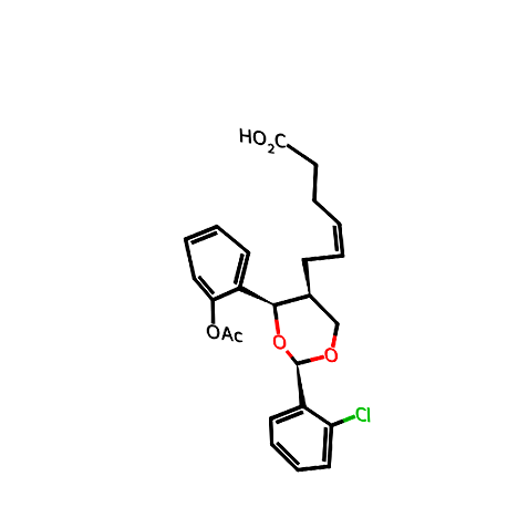 CC(=O)Oc1ccccc1[C@@H]1O[C@H](c2ccccc2Cl)OC[C@@H]1C/C=C\CCC(=O)O